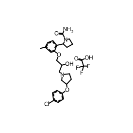 Cc1ccc(C2CCCN2C(N)=O)c(OCC(O)CN2CCC(Oc3ccc(Cl)cc3)C2)c1.O=C(O)C(F)(F)F